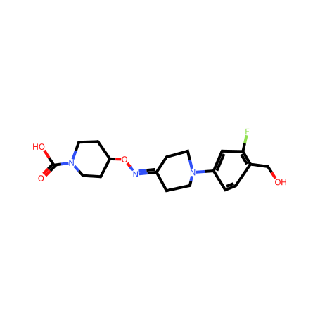 O=C(O)N1CCC(ON=C2CCN(c3ccc(CO)c(F)c3)CC2)CC1